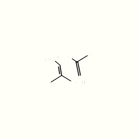 C=C(CC)C(=O)O.CCCC/C=C(\C)C(=O)O